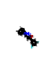 Fc1cc(F)cc(-c2cc(CNC34CC5CC(CC(C5)C3)C4)no2)c1